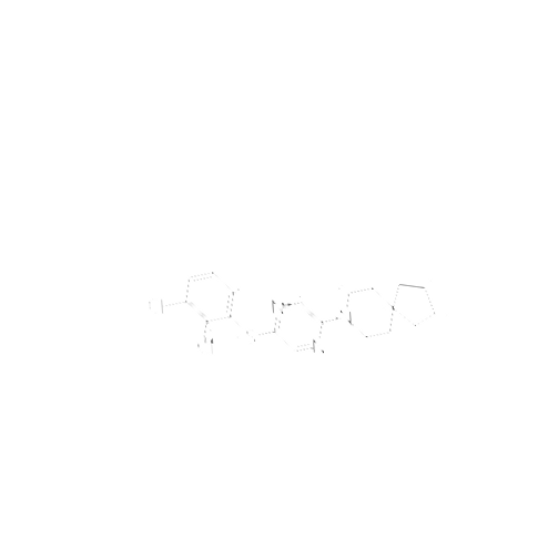 Clc1cccc(Sc2cnc(N3CCC4(CCCC4)CC3)cn2)c1Cl